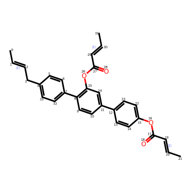 C/C=C/Cc1ccc(-c2ccc(-c3ccc(OC(=O)/C=C/C)cc3)cc2OC(=O)/C=C/C)cc1